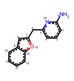 Nc1cccc(Cc2cc3ccccc3o2)n1